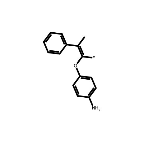 CC(=C(F)Oc1ccc(N)cc1)c1ccccc1